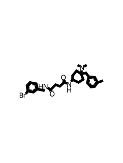 Cc1cccc(CC2(N(C)C)CCC(NC(=O)CCC(=O)NCc3cccc(Br)c3)CC2)c1